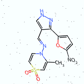 CC1=CS(=O)(=O)C=CN1N=Cc1c[nH]nc1-c1ccc([N+](=O)[O-])o1